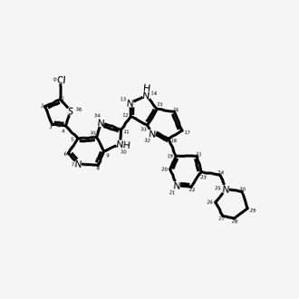 Clc1ccc(-c2cncc3[nH]c(-c4n[nH]c5ccc(-c6cncc(CN7CCCCC7)c6)nc45)nc23)s1